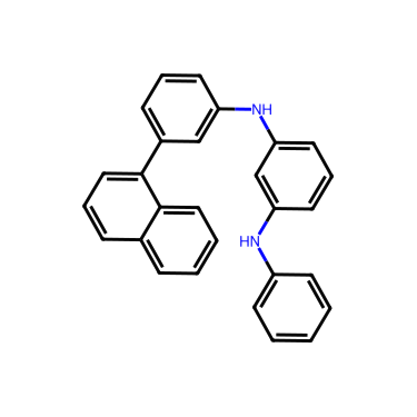 c1ccc(Nc2cccc(Nc3cccc(-c4cccc5ccccc45)c3)c2)cc1